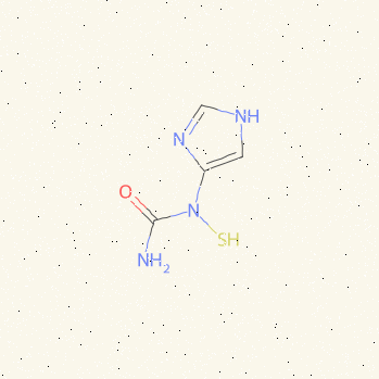 NC(=O)N(S)c1c[nH]cn1